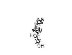 Oc1ccc(C(O)CN2C[C@H]3C[C@@H](Oc4ccc(F)cc4)C[C@H]3C2)cc1